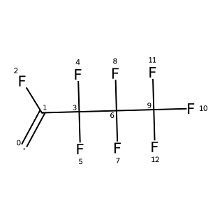 [CH]=C(F)C(F)(F)C(F)(F)C(F)(F)F